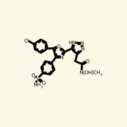 CN(O)C(=O)Cc1nn[nH]c1-c1nc(-c2ccc(S(N)(=O)=O)cc2)c(-c2ccc(Cl)cc2)o1